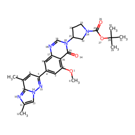 COc1cc(-c2cc(C)c3nc(C)cn3n2)cc2ncn(C3CCN(C(=O)OC(C)(C)C)C3)c(=O)c12